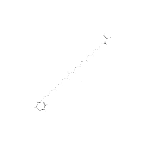 C=C(C)C(=O)OCCCCCCCCCCCCCCCCCC[n+]1ccccc1.[Cl-]